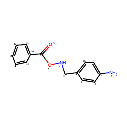 Nc1ccc(CNOC(=O)c2ccccc2)cc1